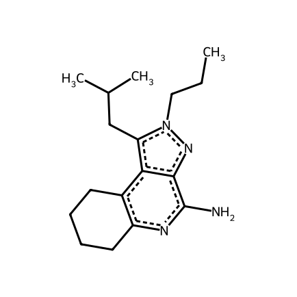 CCCn1nc2c(N)nc3c(c2c1CC(C)C)CCCC3